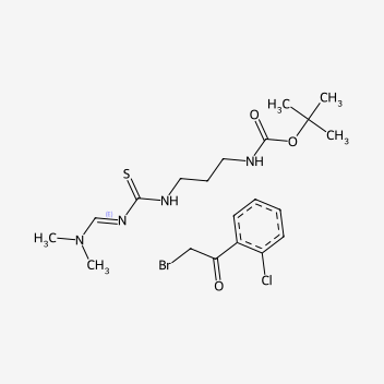 CN(C)/C=N/C(=S)NCCCNC(=O)OC(C)(C)C.O=C(CBr)c1ccccc1Cl